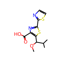 COC(c1sc(-c2nccs2)nc1C(=O)O)C(C)C